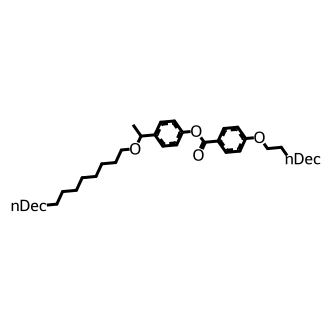 CCCCCCCCCCCCCCCCCCOC(C)c1ccc(OC(=O)c2ccc(OCCCCCCCCCCCC)cc2)cc1